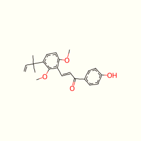 C=CC(C)(C)c1ccc(OC)c(/C=C/C(=O)c2ccc(O)cc2)c1OC